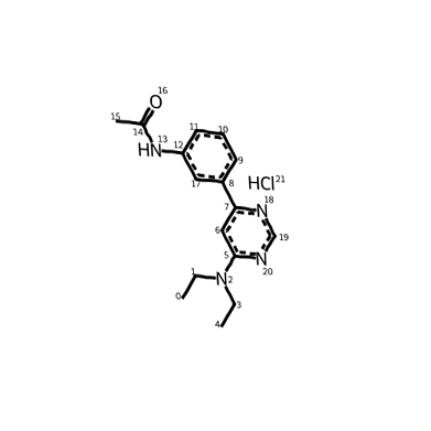 CCN(CC)c1cc(-c2cccc(NC(C)=O)c2)ncn1.Cl